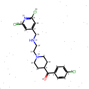 O=C(c1ccc(Cl)cc1)C1CCN(CCNCc2cc(Cl)nc(Cl)c2)CC1